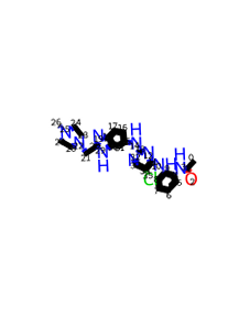 CC(=O)Nc1ccccc1Nc1nc(Nc2ccc3nc(CN4CCN(C)CC4)[nH]c3c2)ncc1Cl